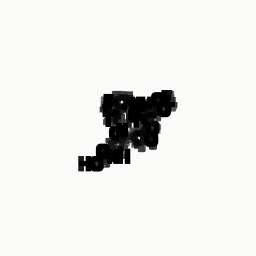 COc1ccc(C2=NOC3CC(NC(=O)CO)CC23)cc1C(=O)Nc1cc2c(cc1C(=O)Nc1ccc(F)c(C(F)(F)F)c1)OC(F)(F)O2